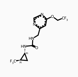 O=C(NCc1cc(OCC(F)(F)F)ncn1)N[C@@H]1C[C@H]1C(F)(F)F